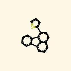 c1csc(-c2ccc3cccc4c3c2-c2ccccc2-4)c1